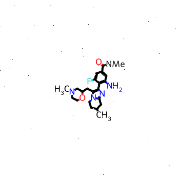 CNC(=O)c1cc(N)c(-c2nc3n(c2CC2CN(C)CCO2)CCC(C)C3)c(F)c1